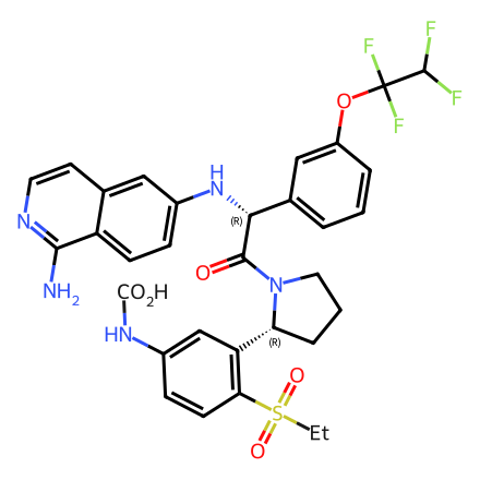 CCS(=O)(=O)c1ccc(NC(=O)O)cc1[C@H]1CCCN1C(=O)[C@H](Nc1ccc2c(N)nccc2c1)c1cccc(OC(F)(F)C(F)F)c1